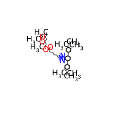 CCCCC(CC(C)OC(=O)CCCCCn1nc2c(-c3ccc(C(C)(C)C)cc3)ccc(-c3ccc(C(C)(C)C)cc3)c2n1)OC(C)=O